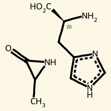 CC1NC1=O.N[C@@H](Cc1c[nH]cn1)C(=O)O